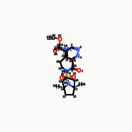 CCc1cnnc(C(=O)N[C@@H]2C[C@H]3CC[C@@H](C2)N3S(=O)(=O)N2CCC(NC(=O)OC(C)(C)C)CC2)c1